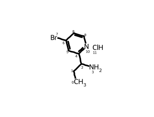 CCC(N)c1cc(Br)ccn1.Cl